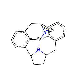 c1cc2c3c(c1)-c1ccc4n1[C@]31c3c(cccc3C3CCC(C2)N31)C4